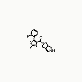 Cc1nc(C(=O)N2CC3=CNCC3C2)c(-c2ccccc2F)s1